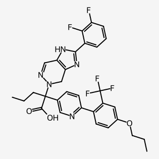 CCCOc1ccc(-c2ccc(C(CCC)(C(=O)O)N3Cc4nc(-c5cccc(F)c5F)[nH]c4C=N3)cn2)c(C(F)(F)F)c1